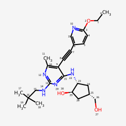 CCOc1ccc(C#Cc2c(C)nc(NCC(C)(C)C)nc2N[C@@H]2C[C@H](CO)C[C@H]2O)cn1